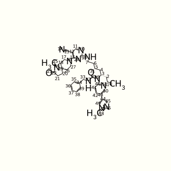 CCC[C@@H](CCCCNc1ncc(C#N)c(N2CCC3(CCC(=O)N3C)CC2)n1)N(C(=O)NCc1ccccc1)c1ccc(-c2cnn(C)c2)cn1